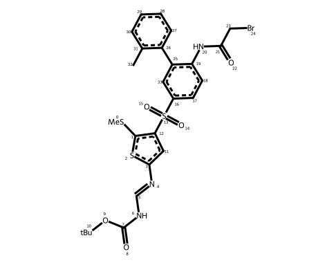 CSc1sc(N=CNC(=O)OC(C)(C)C)cc1S(=O)(=O)c1ccc(NC(=O)CBr)c(-c2ccccc2C)c1